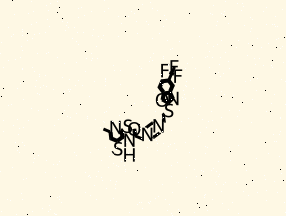 CSc1cc(C)nc(SC)c1NC(=O)CN1CCN(CCSc2nc3cc(C(F)(F)F)ccc3o2)CC1